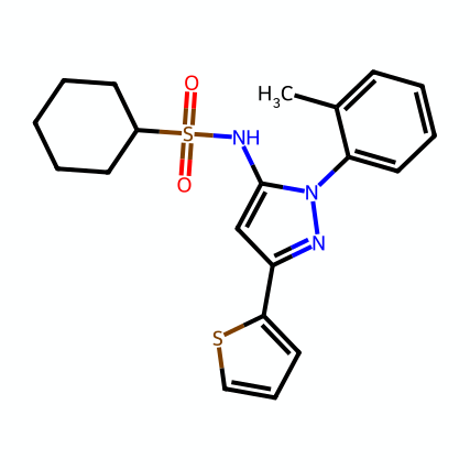 Cc1ccccc1-n1nc(-c2cccs2)cc1NS(=O)(=O)C1CCCCC1